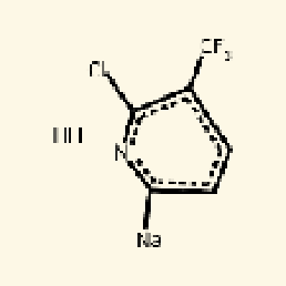 FC(F)(F)c1cc[c]([Na])nc1Cl.[HH]